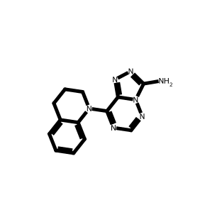 Nc1nnc2c(N3CCCc4ccccc43)ncnn12